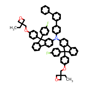 CCC1(COc2ccc(C3(c4ccc(F)cc4)c4ccccc4-c4ccc(N(c5ccc(-c6cccc(-c7ccccc7)c6)cc5)c5ccc6c(c5)C(c5ccc(F)cc5)(c5ccc(OCC7(CC)COC7)cc5)c5ccccc5-6)cc43)cc2)COC1